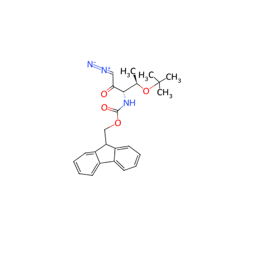 C[C@@H](OC(C)(C)C)[C@H](NC(=O)OCC1c2ccccc2-c2ccccc21)C(=O)C=[N+]=[N-]